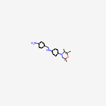 CC1[C@@H](C)O[C@@H](C)CN1c1ccc(NCc2ccc(N)cc2)cc1